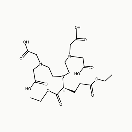 CCOC(=O)CC[C@@H](C(=O)OCC)N(CCN(CC(=O)O)CC(=O)O)CCN(CC(=O)O)CC(=O)O